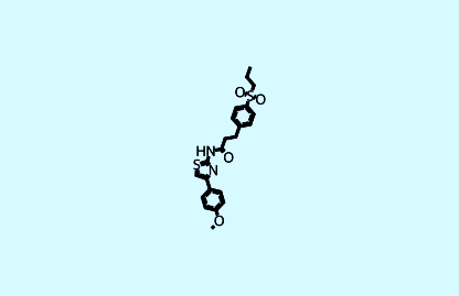 CCCS(=O)(=O)c1ccc(CCC(=O)Nc2nc(-c3ccc(OC)cc3)cs2)cc1